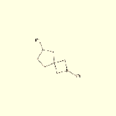 CC(C)C1CCC2(C1)CN(C(C)C)C2